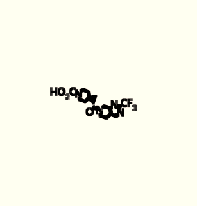 O=C(O)N1CCC2(CC1)C[C@@H]2C(=O)N1CCc2cnc(C(F)(F)F)nc2C1